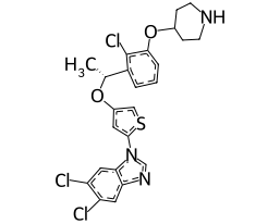 C[C@@H](Oc1csc(-n2cnc3cc(Cl)c(Cl)cc32)c1)c1cccc(OC2CCNCC2)c1Cl